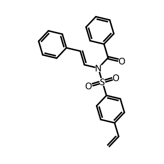 C=Cc1ccc(S(=O)(=O)N(C=Cc2ccccc2)C(=O)c2ccccc2)cc1